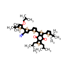 CC(C)COc1cc(C(C)(C)C)sc1-c1sc(-c2ccc(-c3sc(-c4ccc(C(C)(C)C)s4)c4c3C(=O)c3c(CC(C)C)sc(CC(C)C)c3C4=O)s2)cc1C#N